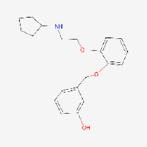 Oc1cccc(COc2ccccc2OCCNC2CCCC2)c1